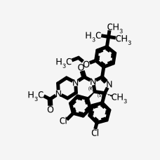 CCOc1cc(C(C)(C)C)ccc1C1=N[C@@](C)(c2ccc(Cl)cc2)[C@@H](c2ccc(Cl)cc2)N1C(=O)N1CCN(C(C)=O)CC1